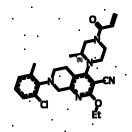 C=CC(=O)N1CCN(c2c(C#N)c(OCC)nc3c2CCN(c2c(C)cccc2Cl)C3)[C@@H](C)C1